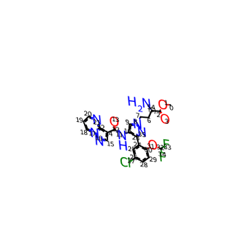 COC(=O)[C@@H](N)CCn1cc(NC(=O)c2cnn3cccnc23)c(-c2cc(Cl)ccc2OC(F)F)n1